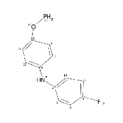 Fc1ccc(Nc2ccc(OP)cc2)cc1